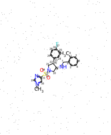 Cc1ccccc1CN[C@@H]1CN(S(=O)(=O)c2cn(C)cn2)C[C@H]1c1ccc(F)cc1